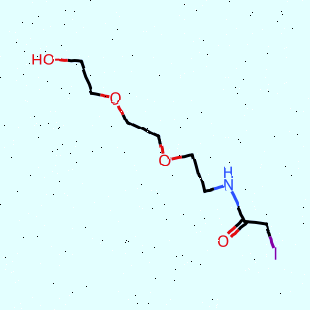 O=C(CI)NCCOCCOCCO